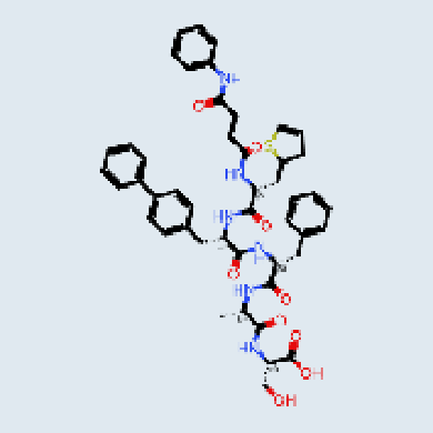 C[C@H](NC(=O)[C@@H](Cc1ccccc1)NC(=O)[C@H](Cc1ccc(-c2ccccc2)cc1)NC(=O)[C@@H](CC1CC=CS1)NC(=O)CCC(=O)Nc1ccccc1)C(=O)N[C@@H](CO)C(=O)O